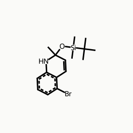 CC1(O[Si](C)(C)C(C)(C)C)C=Cc2c(Br)cccc2N1